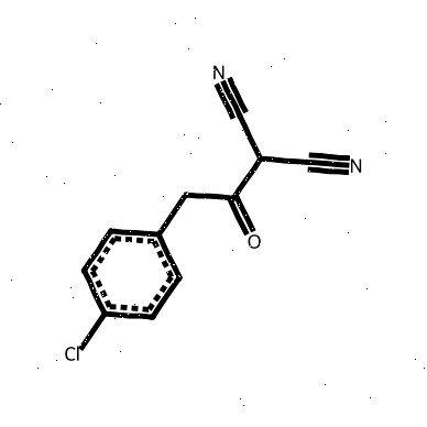 N#CC(C#N)C(=O)Cc1ccc(Cl)cc1